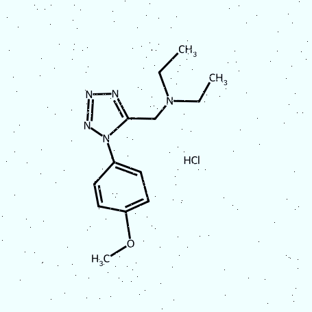 CCN(CC)Cc1nnnn1-c1ccc(OC)cc1.Cl